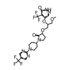 COCC(COC1CCN(C2CCN(c3ncc(C(F)(F)F)cn3)CC2)C1=O)Oc1cn[nH]c(=O)c1C(F)(F)F